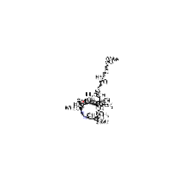 COC(=O)OCCOCCNC(=O)CCCSSC(C)(C)CCC(=O)N(C)[C@@H](C)C(=O)O[C@H]1CC(=O)N(C)c2cc(cc(OC)c2Cl)C/C(C)=C/C=C/[C@@H](OC)[C@@]2(O)C[C@H](OC(=O)N2)[C@@H](C)[C@@H]2O[C@@]12C